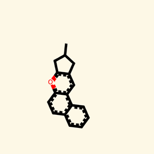 CC1Cc2cc3c(ccc4ccccc43)[o+]c2C1